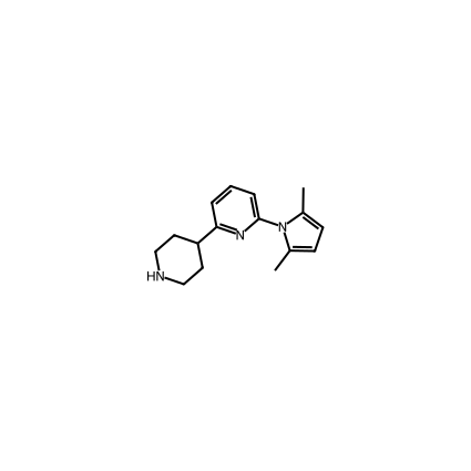 Cc1ccc(C)n1-c1cccc(C2CCNCC2)n1